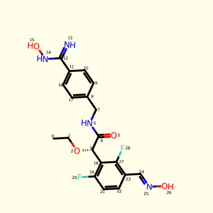 CCO[C@H](C(=O)NCc1ccc(C(=N)NO)cc1)c1c(F)ccc(C=NO)c1F